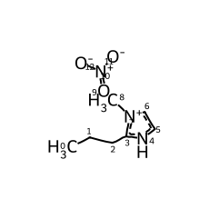 CCCc1[nH]cc[n+]1C.O=[N+]([O-])[O-]